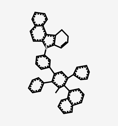 Cc1c(-c2ccccc2)c(-c2cccc(-n3c4c(c5c6ccccc6ccc53)CCC=C4)c2)cc(-c2ccccc2)c1-c1cccc2ccccc12